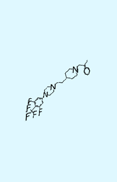 CC(=O)CN1CCC(CCN2CCN(c3cc(F)c(C(F)(F)F)c(F)c3)CC2)CC1